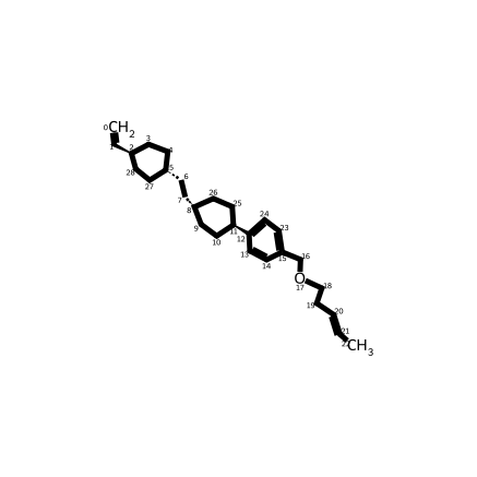 C=C[C@H]1CC[C@H](CC[C@H]2CC[C@H](c3ccc(COCCC=CC)cc3)CC2)CC1